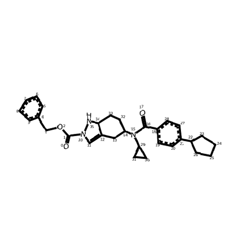 O=C(OCc1ccccc1)N1C=C2CC(N(C(=O)c3ccc(C4CCCC4)cc3)C3CC3)CCC2N1